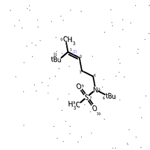 C/C(=C/CCN(C(C)(C)C)S(C)(=O)=O)C(C)(C)C